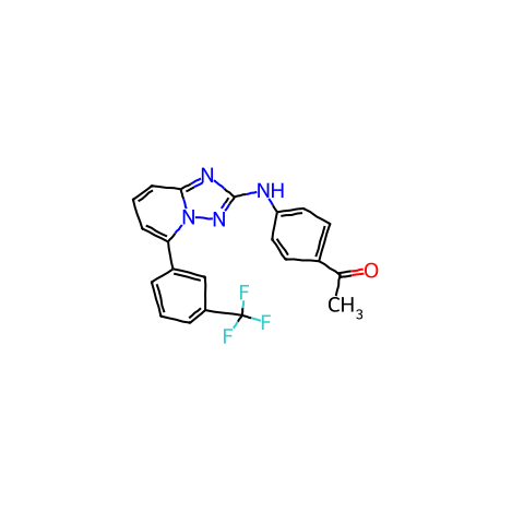 CC(=O)c1ccc(Nc2nc3cccc(-c4cccc(C(F)(F)F)c4)n3n2)cc1